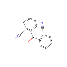 N#Cc1ccccc1C(=O)c1ccccc1C#N